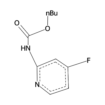 CCCCOC(=O)Nc1cc(F)ccn1